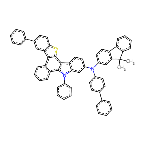 CC1(C)c2ccccc2-c2ccc(N(c3ccc(-c4ccccc4)cc3)c3ccc4c5c6sc7ccc(-c8ccccc8)cc7c6c6ccccc6c5n(-c5ccccc5)c4c3)cc21